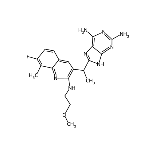 COCCNc1nc2c(C)c(F)ccc2cc1C(C)c1nc2c(N)nc(N)nc2[nH]1